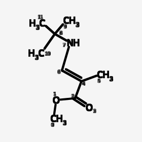 COC(=O)C(C)=CNC(C)(C)C